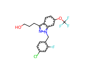 OCCCc1nn(Cc2ccc(Cl)cc2F)c2cc(OC(F)(F)F)ccc12